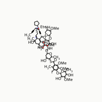 CC#C/C=C\C#C[C@H](O[C@@H]1O[C@H](C)[C@@H](NO[C@H]2C[C@H](O)[C@H](SC(=O)c3c(C)c(I)c(O[C@@H]4O[C@@H](C)[C@H](O)[C@@H](OC)[C@H]4O)c(OC)c3OC)[C@@H](C)O2)[C@H](O)[C@H]1O[C@H]1C[C@H](OC)[C@@H](NCC)CO1)C1=C(NC(=O)OC)C(=O)C[C@](C)(O)/C1=C/CSSC1CCCC1